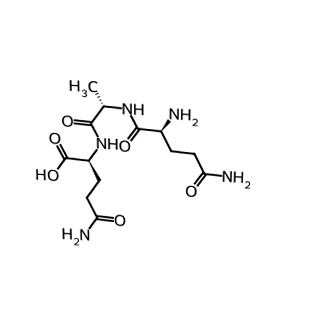 C[C@H](NC(=O)[C@@H](N)CCC(N)=O)C(=O)N[C@@H](CCC(N)=O)C(=O)O